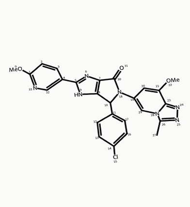 COc1ccc(-c2nc3c([nH]2)C(c2ccc(Cl)cc2)N(c2cc(OC)c4nnc(C)n4c2)C3=O)cn1